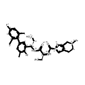 Cc1cc(-c2c(C)cc(F)cc2C)cc([C@H](CC(=O)O)NC(=O)[C@H](CC(C)C)NC(=O)n2cc3c(n2)CN(C(C)C)CC3)c1F